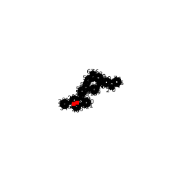 CC1(C)c2ccccc2-c2ccc(N3c4ccc(cc4)C4(C)c5cc(N(c6ccc(-c7ccccc7)cc6)c6ccccc6-c6ccccc6)ccc5-c5cc6c(cc54)-c4c3cccc4C6(C)C)cc21